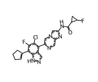 O=C(Nc1cn2cc(-c3c(Cl)c(F)c(C4=CCCC4)c4[nH]ncc34)ncc2n1)C1CC1F